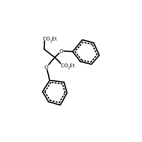 CCOC(=O)CC(Oc1ccccc1)(Oc1ccccc1)C(=O)OCC